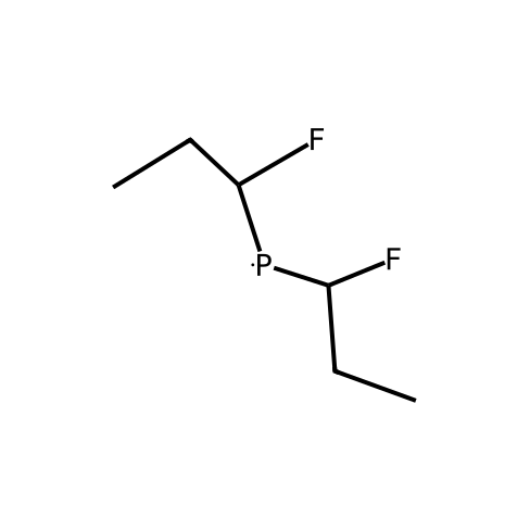 CCC(F)[P]C(F)CC